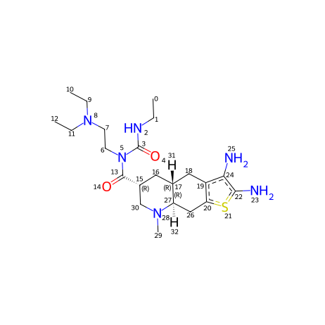 CCNC(=O)N(CCN(CC)CC)C(=O)[C@@H]1C[C@@H]2Cc3c(sc(N)c3N)C[C@H]2N(C)C1